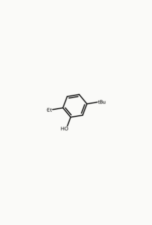 C[CH]c1ccc(C(C)(C)C)cc1O